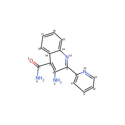 NC(=O)c1c(N)c(-c2ccccn2)nc2ccccc12